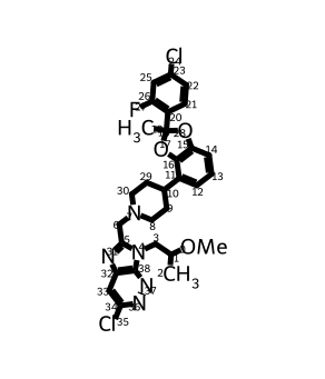 COC(C)Cn1c(CN2CCC(c3cccc4c3OC(C)(c3ccc(Cl)cc3F)O4)CC2)nc2cc(Cl)nnc21